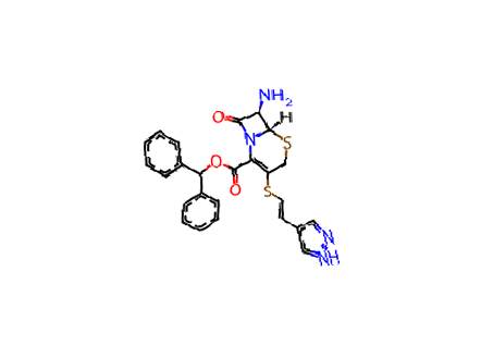 N[C@@H]1C(=O)N2C(C(=O)OC(c3ccccc3)c3ccccc3)=C(S/C=C/c3cn[nH]c3)CS[C@@H]12